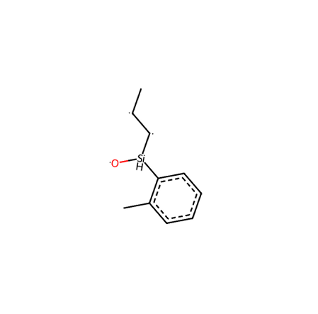 C[CH][CH][SiH]([O])c1ccccc1C